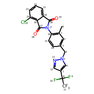 Cc1cc(Cn2cc(C(F)(F)C(F)(F)F)cn2)ccc1N1C(=O)c2cccc(Cl)c2C1=O